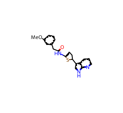 COc1cccc(CC(=O)NC2=CCC(c3c[nH]c4ncccc34)S2)c1